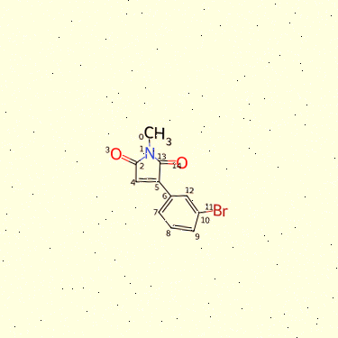 CN1C(=O)C=C(c2cccc(Br)c2)C1=O